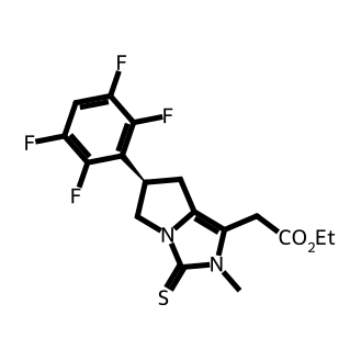 CCOC(=O)Cc1c2n(c(=S)n1C)C[C@@H](c1c(F)c(F)cc(F)c1F)C2